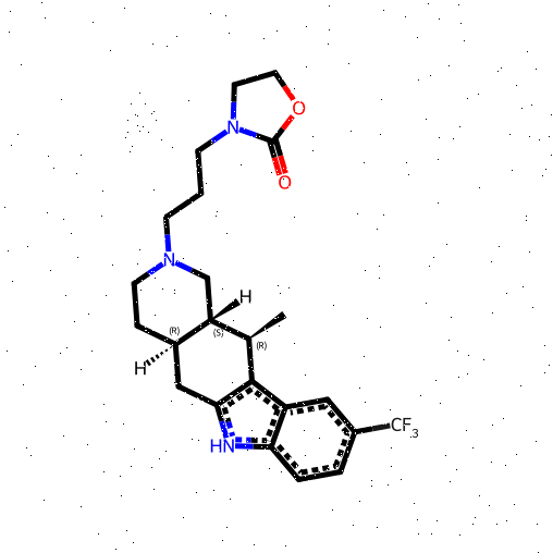 C[C@H]1c2c([nH]c3ccc(C(F)(F)F)cc23)C[C@H]2CCN(CCCN3CCOC3=O)C[C@@H]21